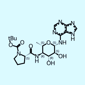 C[C@@H]1O[C@H](Nc2ncnc3nc[nH]c23)[C@@H](O)[C@H](O)[C@H]1NC(=O)[C@@H]1CCCN1C(=O)OC(C)(C)C